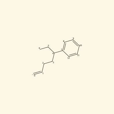 [CH]=CCCC(CC)c1ccccc1